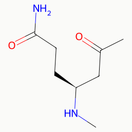 CN[C@@H](CCC(N)=O)CC(C)=O